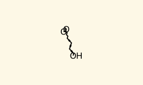 COC(=O)CCCCC#CCC#CCC#CCO